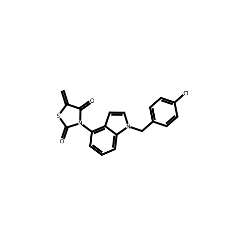 C=C1SC(=O)N(c2cccc3c2ccn3Cc2ccc(Cl)cc2)C1=O